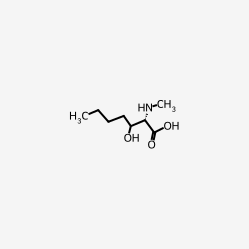 CCCCC(O)[C@H](NC)C(=O)O